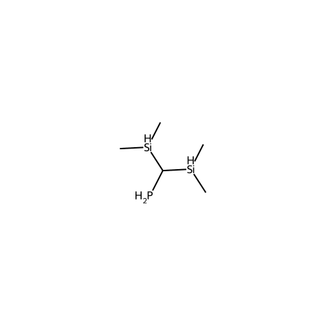 C[SiH](C)C(P)[SiH](C)C